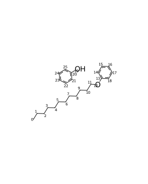 CCCCCCCCCCCCOc1ccccc1.Oc1ccccc1